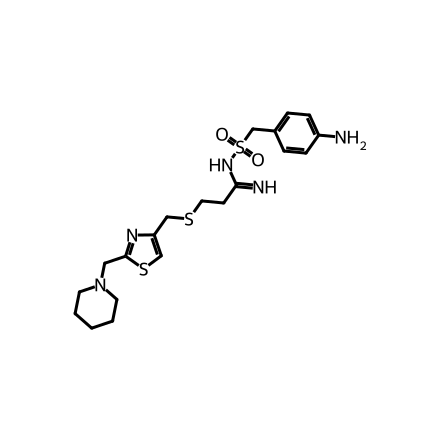 N=C(CCSCc1csc(CN2CCCCC2)n1)NS(=O)(=O)Cc1ccc(N)cc1